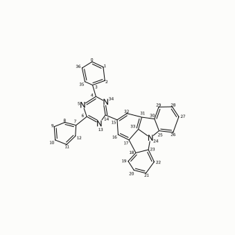 c1ccc(-c2nc(-c3ccccc3)nc(-c3cc4c5ccccc5n5c6ccccc6c(c3)c45)n2)cc1